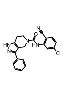 N#Cc1ccc(Cl)cc1NC(=O)N1CCc2[nH]nc(-c3ccccc3)c2C1